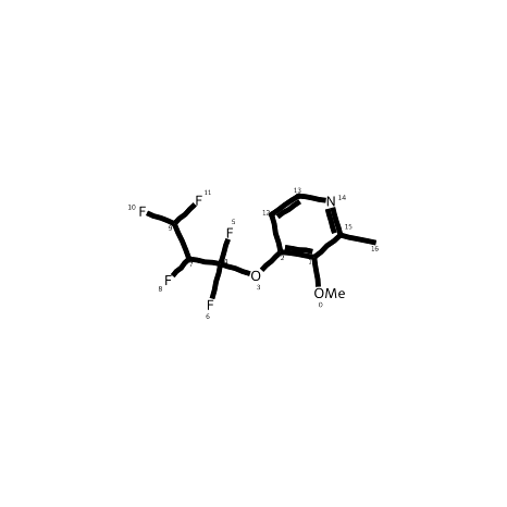 COc1c(OC(F)(F)C(F)C(F)F)ccnc1C